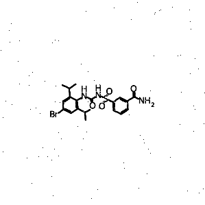 CC(C)c1cc(Br)cc(C(C)C)c1NC(=O)NS(=O)(=O)c1cccc(C(N)=O)c1